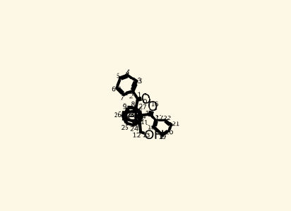 O=C(c1ccccc1)[C]12[CH]3[CH]4[C]5(CO)[C]1(C(=O)c1ccccc1)[Fe]43521678[CH]2[CH]1[CH]6[CH]7[CH]28